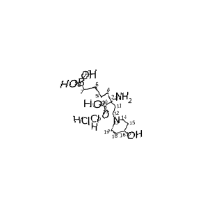 Cl.Cl.NC(CCCCB(O)O)(CCN1CCC(O)CC1)C(=O)O